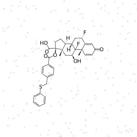 C[C@]12C=CC(=O)C=C1[C@@H](F)C[C@H]1[C@@H]3CC[C@@](OC(=O)c4ccc(CSc5ccccc5)cc4)(C(=O)O)[C@@]3(C)C[C@H](O)C12F